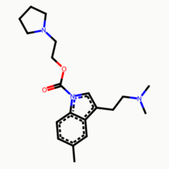 Cc1ccc2c(c1)c(CCN(C)C)cn2C(=O)OCCN1CCCC1